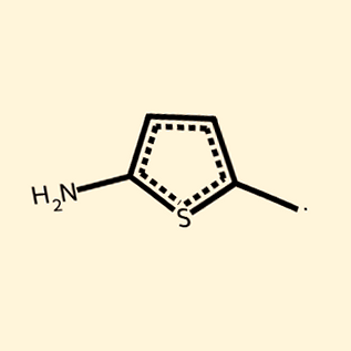 [CH2]c1ccc(N)s1